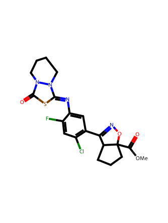 COC(=O)C12CCCC1C(c1cc(/N=c3\sc(=O)n4n3CCCC4)c(F)cc1Cl)=NO2